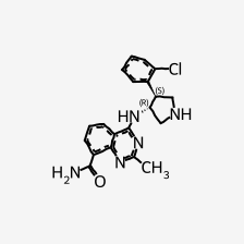 Cc1nc(N[C@H]2CNC[C@@H]2c2ccccc2Cl)c2cccc(C(N)=O)c2n1